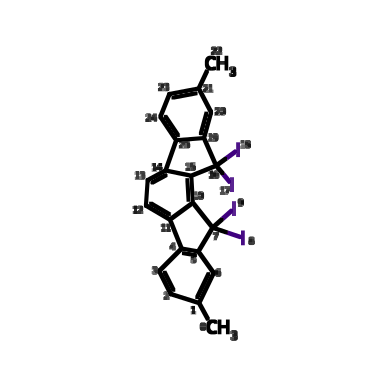 Cc1ccc2c(c1)C(I)(I)c1c-2ccc2c1C(I)(I)c1cc(C)ccc1-2